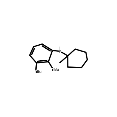 CCCCc1cccc(PC2(C)CCCCC2)c1CCCC